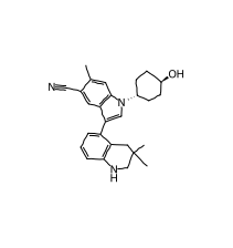 Cc1cc2c(cc1C#N)c(-c1cccc3c1CC(C)(C)CN3)cn2[C@H]1CC[C@H](O)CC1